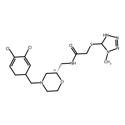 CN1N=NNC1SCC(=O)NC[C@H]1CN(CC2C=C(Cl)C(Cl)=CC2)CCO1